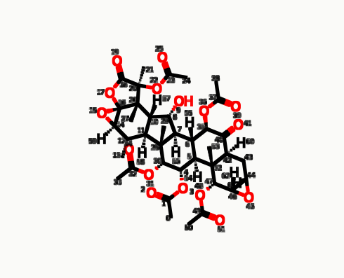 CC(=O)O[C@H]1[C@H]2[C@H]([C@@H]3[C@@H](O)[C@@H]4[C@H]([C@H](C)[C@H]5O[C@]56OC(=O)[C@@](C)(OC(C)=O)[C@]46C)[C@@]3(C)[C@H]1OC(C)=O)[C@@H](OC(C)=O)C(=O)[C@H]1C[C@@H]3O[C@@H]3[C@H](OC(C)=O)[C@]21C